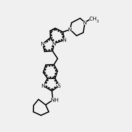 CN1CCN(c2ccc3ncc(Cc4ccc5nc(NC6CCCCC6)sc5c4)n3n2)CC1